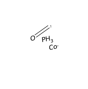 P.[C]=O.[Co]